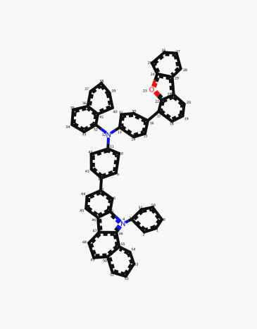 c1ccc(-n2c3cc(-c4ccc(N(c5ccc(-c6cccc7c6oc6ccccc67)cc5)c5cccc6ccccc56)cc4)ccc3c3ccc4ccccc4c32)cc1